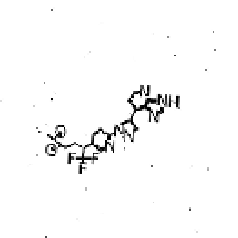 CS(=O)(=O)CC[C@@H](c1ccc(-n2cc(-c3ccnc4[nH]cnc34)cn2)nc1)C(F)(F)F